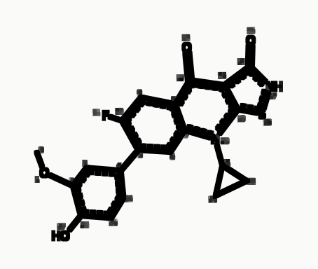 COc1cc(-c2cc3c(cc2F)c(=O)c2c(=O)[nH]sc2n3C2CC2)ccc1O